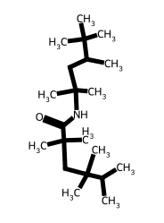 CC(CC(C)(C)NC(=O)C(C)(C)CC(C)(C)C(C)C)C(C)(C)C